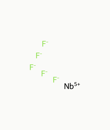 [F-].[F-].[F-].[F-].[F-].[Nb+5]